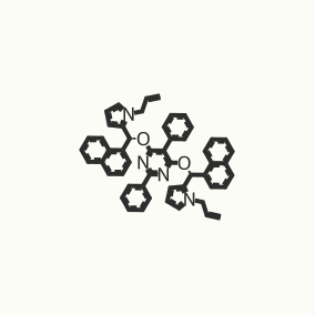 C=CCn1cccc1[C@H](Oc1nc(-c2ccccc2)nc(O[C@H](c2cccc3ccccc23)c2cccn2CC=C)c1-c1ccccc1)c1cccc2ccccc12